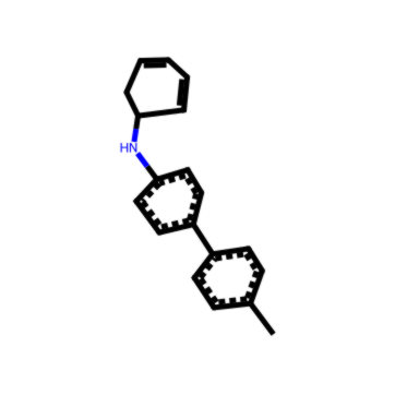 Cc1ccc(-c2ccc(NC3C=CC=CC3)cc2)cc1